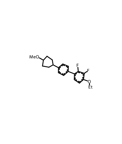 CCOc1ccc(-c2ccc(C3CCC(OC)CC3)cc2)c(F)c1F